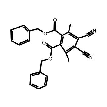 Cc1c(C#N)c(C#N)c(I)c(C(=O)OCc2ccccc2)c1C(=O)OCc1ccccc1